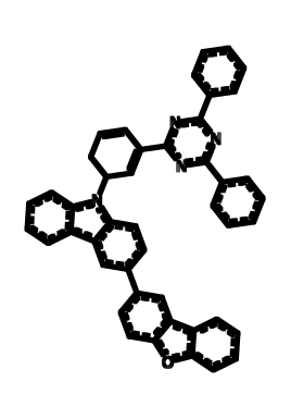 C1=CC(c2nc(-c3ccccc3)nc(-c3ccccc3)n2)=CC(n2c3ccccc3c3cc(-c4ccc5oc6ccccc6c5c4)ccc32)C1